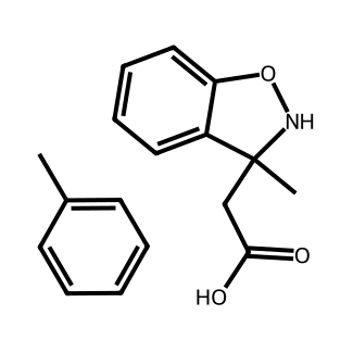 CC1(CC(=O)O)NOc2ccccc21.Cc1ccccc1